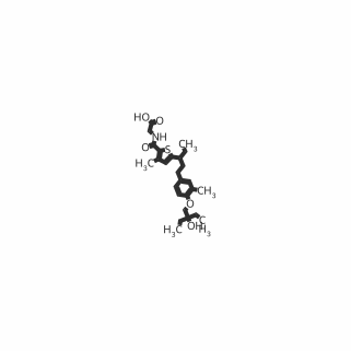 CCC(CCc1ccc(OCC(O)(CC)CC)c(C)c1)c1cc(C)c(C(=O)NCC(=O)O)s1